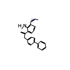 C=C(Cc1ccc(-c2ccccc2)cc1)c1cccc(/C=C\C)c1N